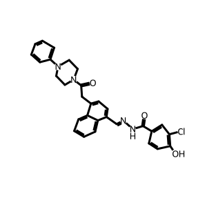 O=C(N/N=C/c1ccc(CC(=O)N2CCN(c3ccccc3)CC2)c2ccccc12)c1ccc(O)c(Cl)c1